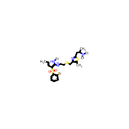 CC=CC(=C(NCC)NCCSCc1nc(CC(C)N(CC)CC)sc1C)S(=O)(=O)c1ccccc1Br